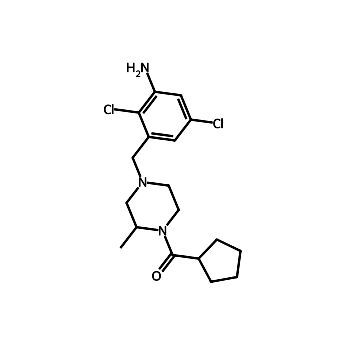 CC1CN(Cc2cc(Cl)cc(N)c2Cl)CCN1C(=O)C1CCCC1